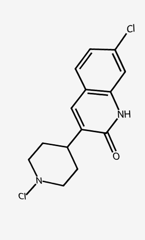 O=c1[nH]c2cc(Cl)ccc2cc1C1CCN(Cl)CC1